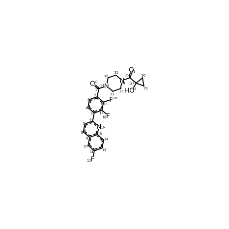 O=C(c1ccc(-c2ccc3cc(F)ccc3n2)c(F)c1F)N1CCN(C(=O)C2(O)CC2)CC1